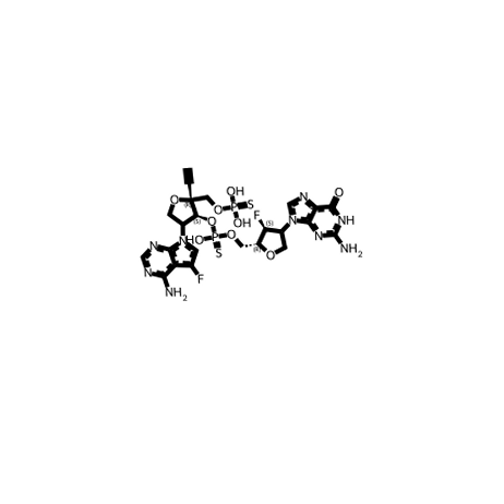 C#C[C@]1(COP(O)(O)=S)OCC(n2cc(F)c3c(N)ncnc32)[C@@H]1OP(O)(=S)OC[C@H]1OCC(n2cnc3c(=O)[nH]c(N)nc32)[C@@H]1F